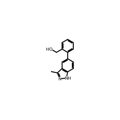 Cc1n[nH]c2ccc(-c3ccccc3CO)cc12